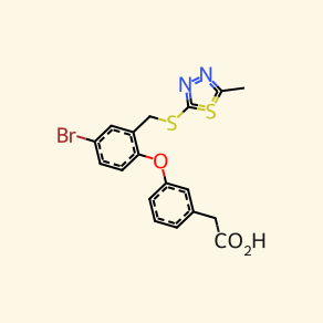 Cc1nnc(SCc2cc(Br)ccc2Oc2cccc(CC(=O)O)c2)s1